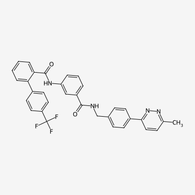 Cc1ccc(-c2ccc(CNC(=O)c3cccc(NC(=O)c4ccccc4-c4ccc(C(F)(F)F)cc4)c3)cc2)nn1